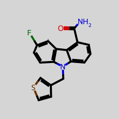 NC(=O)c1cccc2c1c1[c]c(F)ccc1n2Cc1ccsc1